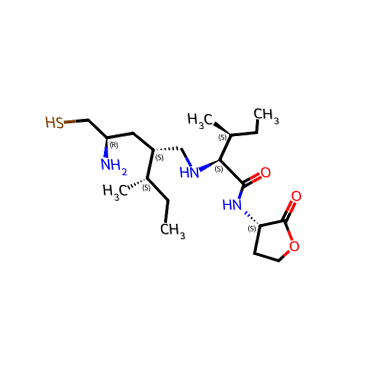 CC[C@H](C)[C@@H](CN[C@H](C(=O)N[C@H]1CCOC1=O)[C@@H](C)CC)C[C@@H](N)CS